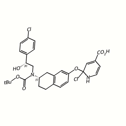 CC(C)(C)OC(=O)N(C[C@H](O)c1ccc(Cl)cc1)[C@H]1CCc2ccc(OC3(Cl)C=C(C(=O)O)C=CN3)cc2C1